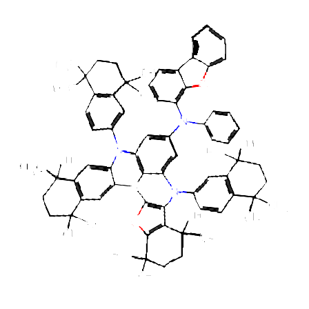 CC1(C)CCC(C)(C)c2cc(N3c4cc5c(cc4B4c6oc7c(c6N(c6ccc8c(c6)C(C)(C)CCC8(C)C)c6cc(N(c8ccccc8)c8cccc9c8oc8ccccc89)cc3c64)C(C)(C)CCC7(C)C)C(C)(C)CCC5(C)C)ccc21